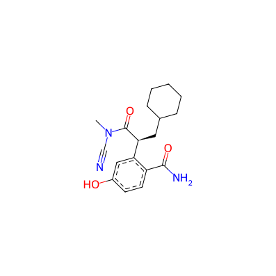 CN(C#N)C(=O)[C@@H](CC1CCCCC1)c1cc(O)ccc1C(N)=O